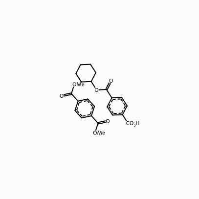 COC(=O)c1ccc(C(=O)OC)cc1.O=C(O)c1ccc(C(=O)OC2CCCCC2)cc1